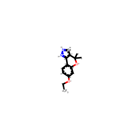 CC1(C)Oc2cc(OCC(F)(F)F)ccc2-c2nn[se]c21